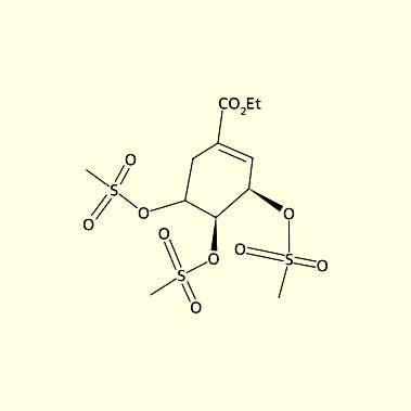 CCOC(=O)C1=C[C@@H](OS(C)(=O)=O)[C@@H](OS(C)(=O)=O)C(OS(C)(=O)=O)C1